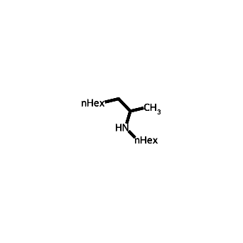 CCCCCCCC(C)NCCCCCC